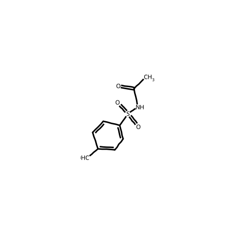 [CH]c1ccc(S(=O)(=O)NC(C)=O)cc1